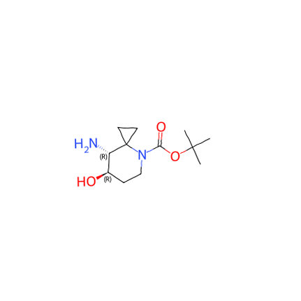 CC(C)(C)OC(=O)N1CC[C@@H](O)[C@H](N)C12CC2